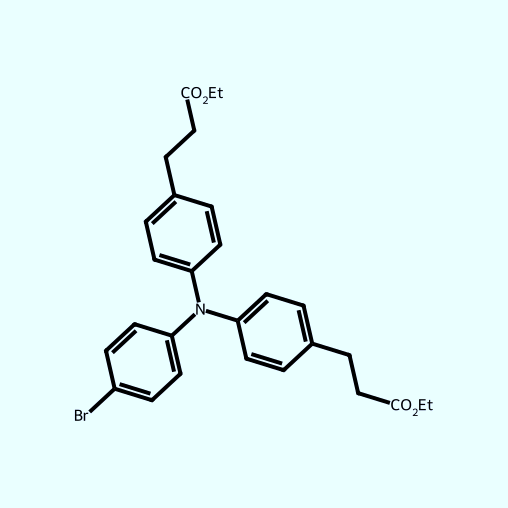 CCOC(=O)CCc1ccc(N(c2ccc(Br)cc2)c2ccc(CCC(=O)OCC)cc2)cc1